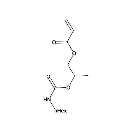 C=CC(=O)OCC(C)OC(=O)NCCCCCC